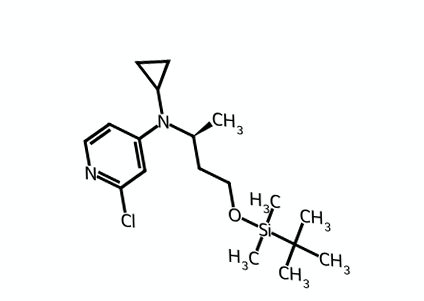 C[C@@H](CCO[Si](C)(C)C(C)(C)C)N(c1ccnc(Cl)c1)C1CC1